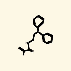 C=C(C)C(=O)NCCN(c1ccccc1)c1ccccc1